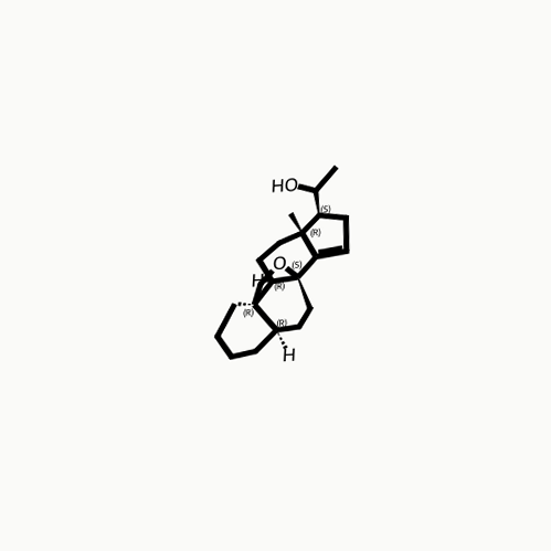 CC(O)[C@H]1CC=C2[C@]1(C)CC[C@@H]1[C@@]34CCCC[C@@H]3CC[C@@]21OC4